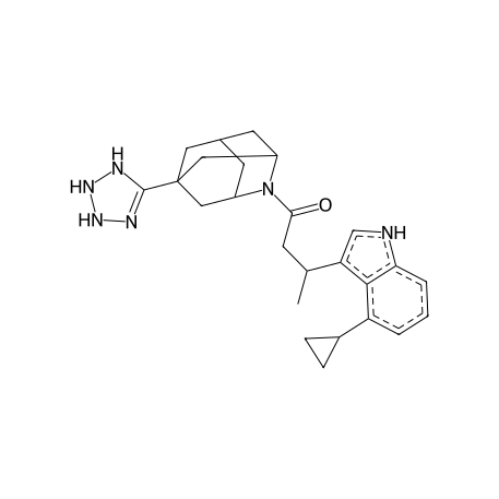 CC(CC(=O)N1C2CC3CC1CC(C1=NNNN1)(C3)C2)c1c[nH]c2cccc(C3CC3)c12